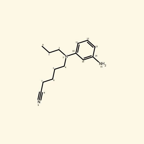 CCCN(CCCCC#N)c1cccc(N)c1